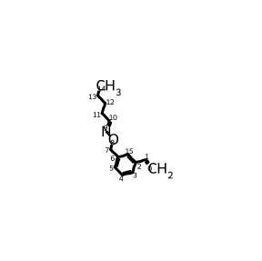 C=Cc1cccc(CON=CCCCC)c1